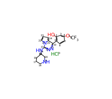 Cl.Oc1cc(OC(F)(F)F)ccc1-c1nnc(N[C@@H]2CCCNC2)n2cccc12